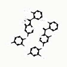 COc1ccccc1-c1n[nH]c2cc(Oc3ccc(F)cc3F)cnc12.COc1ccccc1C(=O)c1ncc(Oc2ccc(F)cc2F)cc1F